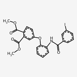 COC(=O)c1ccc(Oc2ccccc2NC(=O)c2cccc(I)c2)cc1C(=O)OC